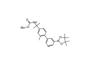 Cc1cc(C(C)(C)NC(=O)OC(C)(C)C)ccc1-c1cncc(B2OC(C)(C)C(C)(C)O2)c1